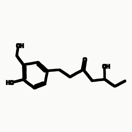 CCC(O)CC(=O)CCc1ccc(O)c(CO)c1